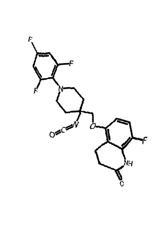 O=C=NC1(COc2ccc(F)c3c2CCC(=O)N3)CCN(c2c(F)cc(F)cc2F)CC1